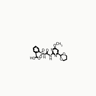 COc1cc(C2OCCCO2)nc(NC(=O)NS(=O)(=O)c2ccccc2C(=O)O)n1